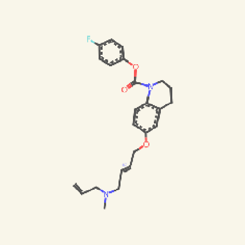 C=CCN(C)C/C=C/COc1ccc2c(c1)CCCN2C(=O)Oc1ccc(F)cc1